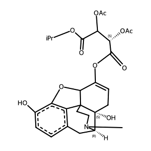 CC(=O)OC(C(=O)OC(C)C)[C@H](OC(C)=O)C(=O)OC1=CC[C@@]2(O)[C@H]3Cc4ccc(O)c5c4C2(CCN3C)C1O5